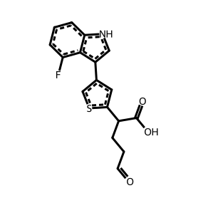 O=CCCC(C(=O)O)c1cc(-c2c[nH]c3cccc(F)c23)cs1